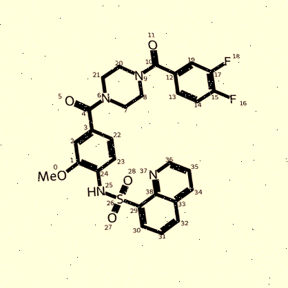 COc1cc(C(=O)N2CCN(C(=O)c3ccc(F)c(F)c3)CC2)ccc1NS(=O)(=O)c1cccc2cccnc12